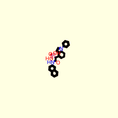 O=C(Nc1ccc2ccccc2c1)C(C1=CCCc2c1ccn2-c1ccccc1)P(=O)(O)O